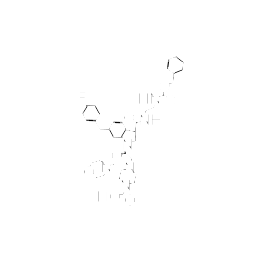 C[C@@H]1COCCN1C[C@H]1CN(C(=O)O)[C@H](C)CN1CC(=O)N1C[C@@](C)(C(=O)NCCNC(=O)OCc2ccccc2)c2ccc(Cc3ccc(F)cc3)cc21